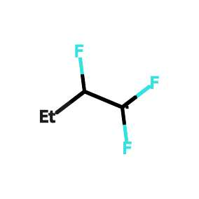 [CH2]CC(F)[C](F)F